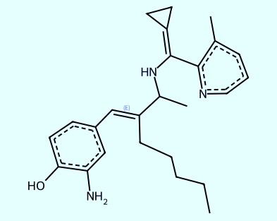 CCCCC/C(=C\c1ccc(O)c(N)c1)C(C)NC(=C1CC1)c1ncccc1C